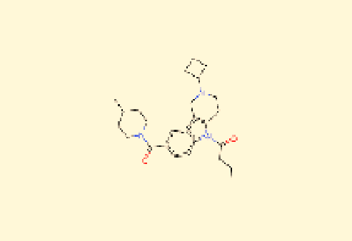 CCCC(=O)n1c2c(c3cc(C(=O)N4CCC(C)CC4)ccc31)CN(C1CCC1)CC2